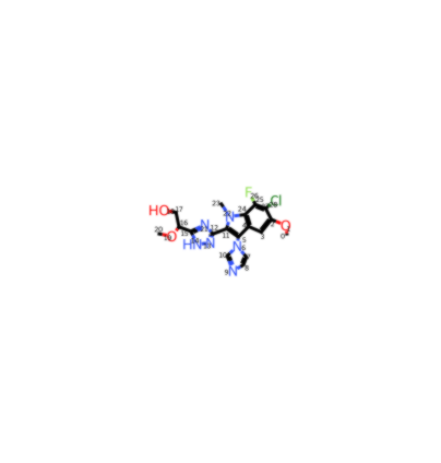 COc1cc2c(-n3ccnc3)c(-c3n[nH]c(C(CO)OC)n3)n(C)c2c(F)c1Cl